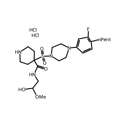 CCCCCc1ccc(N2CCN(S(=O)(=O)C3(C(=O)NCC(O)OC)CCNCC3)CC2)cc1F.Cl.Cl